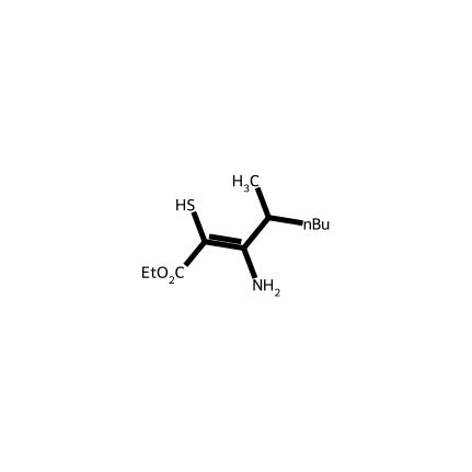 CCCCC(C)C(N)=C(S)C(=O)OCC